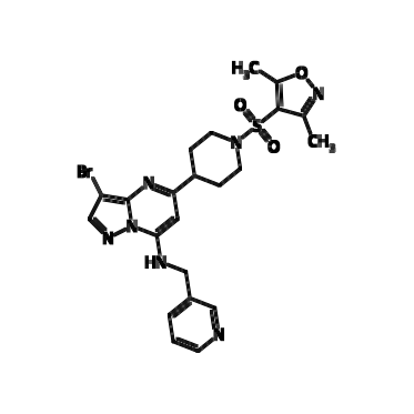 Cc1noc(C)c1S(=O)(=O)N1CCC(c2cc(NCc3cccnc3)n3ncc(Br)c3n2)CC1